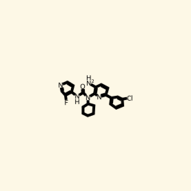 Nc1ccc(-c2cccc(Cl)c2)nc1N(C(=O)Nc1ccncc1F)C1CCCCC1